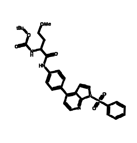 COCCC(NC(=O)OC(C)(C)C)C(=O)Nc1ccc(-c2ccnc3c2ccn3S(=O)(=O)c2ccccc2)cc1